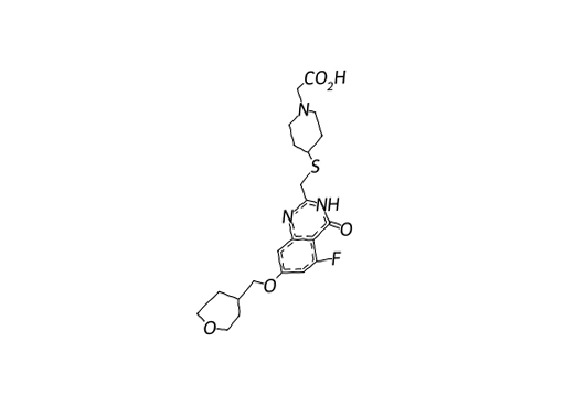 O=C(O)CN1CCC(SCc2nc3cc(OCC4CCOCC4)cc(F)c3c(=O)[nH]2)CC1